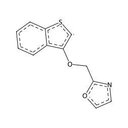 [c]1sc2ccccc2c1OCc1ncco1